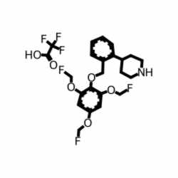 FCOc1cc(OCF)c(OCc2ccccc2C2CCNCC2)c(OCF)c1.O=C(O)C(F)(F)F